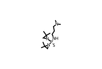 CN(C)CCCNP(=S)(N1CC1(C)C)N1CC1(C)C